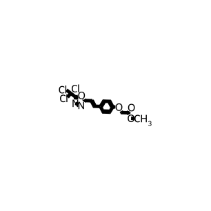 COC(=O)COc1ccc(C=Cc2nnc(C(Cl)(Cl)Cl)o2)cc1